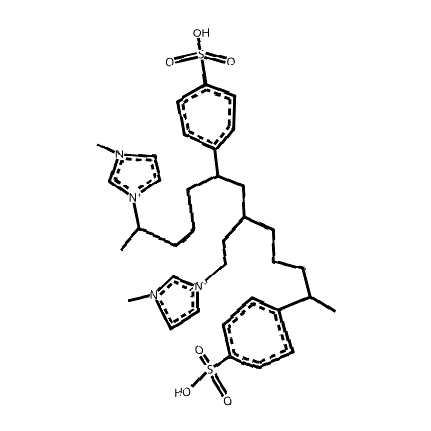 CC(CCCC(CC[n+]1ccn(C)c1)CC(CCCC(C)[n+]1ccn(C)c1)c1ccc(S(=O)(=O)O)cc1)c1ccc(S(=O)(=O)O)cc1